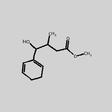 COC(=O)CC(C)C(O)C1=CCCC=C1